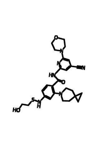 N#Cc1cc(NC(=O)c2ccc(NSCCO)cc2N2CCC3(CC2)CC3)nc(N2CCOCC2)c1